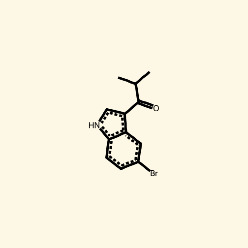 CC(C)C(=O)c1c[nH]c2ccc(Br)cc12